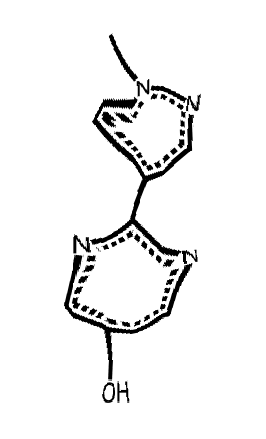 Cn1cc(-c2ncc(O)cn2)cn1